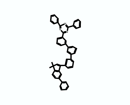 CC1(C)C=C(c2cccc(-c3cccc(-c4cccc(-c5nc(-c6ccccc6)nc(-c6ccccc6)n5)c4)c3)c2)c2cc(-c3ccccc3)ccc21